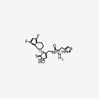 Cl.N[C@@H](Cc1cnc[nH]1)C(=O)NCc1c[nH]c(=S)n1[C@H]1CCc2c(F)cc(F)cc2C1